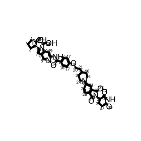 CN1CCC[C@@H]1c1cc2cnc(NC(=O)c3ccc(OCCC4CCN(c5ccc6c(c5)C(=O)N(C5CCC(=O)NC5=O)C6=O)CC4)cc3)cc2n1C(=O)O